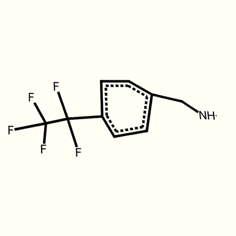 [NH]Cc1ccc(C(F)(F)C(F)(F)F)cc1